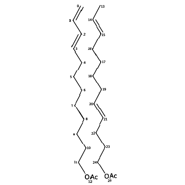 C=CC=CCCCCCCCCOC(C)=O.CC=CCCCCC=CCCCOC(C)=O